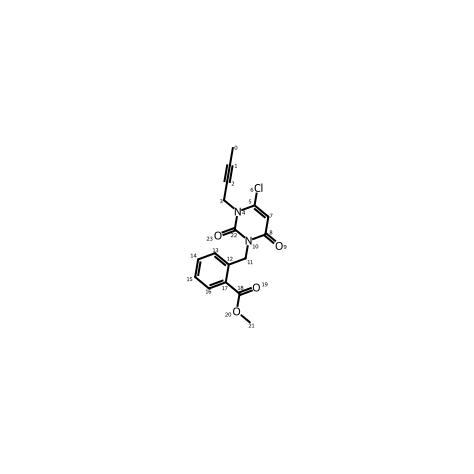 CC#CCn1c(Cl)cc(=O)n(Cc2ccccc2C(=O)OC)c1=O